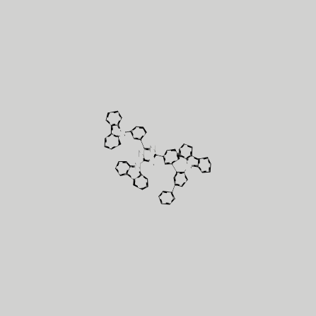 c1ccc(-c2ccc(-n3c4ccccc4c4ccccc43)c(-c3cccc(-c4nc(-c5cccc(-n6c7ccccc7c7ccccc76)c5)nc(-n5c6ccccc6c6ccccc65)n4)c3)c2)cc1